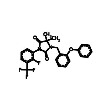 CC1(C)C(=O)N(c2cccc(C(F)(F)F)c2F)C(=O)N1Cc1ccccc1Oc1ccccc1